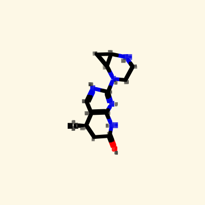 C[C@@H]1CC(=O)Nc2nc(N3CCNC4CC43)ncc21